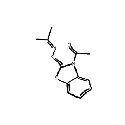 CC(=O)n1c(=NN=C(C)C)sc2ccccc21